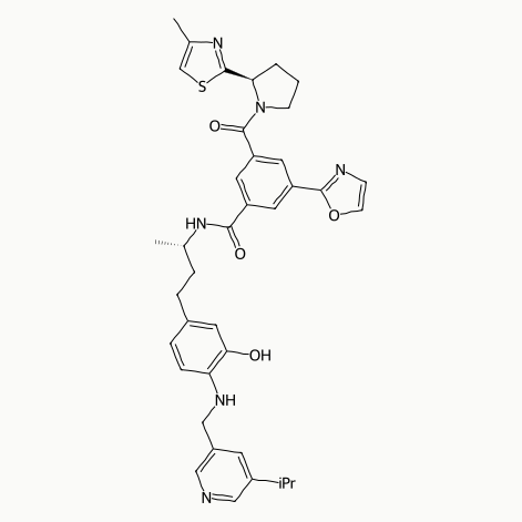 Cc1csc([C@H]2CCCN2C(=O)c2cc(C(=O)N[C@@H](C)CCc3ccc(NCc4cncc(C(C)C)c4)c(O)c3)cc(-c3ncco3)c2)n1